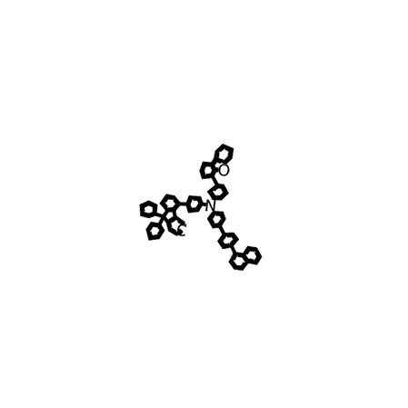 c1ccc(C2(c3ccccc3)c3ccccc3-c3c(-c4ccc(N(c5ccc(-c6ccc(-c7cccc8ccccc78)cc6)cc5)c5cccc(-c6cccc7c6oc6ccccc67)c5)cc4)cccc32)cc1